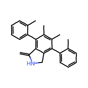 C=C1NCc2c1c(-c1ccccc1C)c(C)c(C)c2-c1ccccc1C